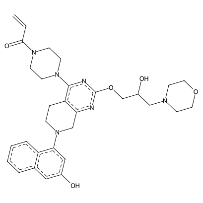 C=CC(=O)N1CCN(c2nc(OCC(O)CN3CCOCC3)nc3c2CCN(c2cc(O)cc4ccccc24)C3)CC1